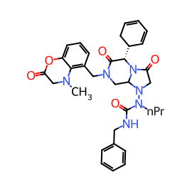 CCCN(C(=O)NCc1ccccc1)N1CC(=O)N2C1CN(Cc1cccc3c1N(C)CC(=O)O3)C(=O)[C@@H]2C1C=CC=CC1